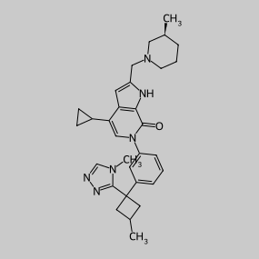 CC1CC(c2cccc(-n3cc(C4CC4)c4cc(CN5CCC[C@H](C)C5)[nH]c4c3=O)c2)(c2nncn2C)C1